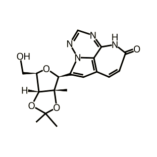 CC1(C)O[C@@H]2[C@@H](CO)O[C@@H](c3cc4c5c(ncnn35)NC(=O)C=C4)[C@]2(C)O1